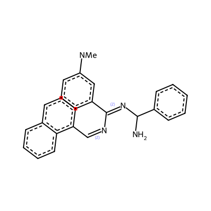 CNc1cccc(C(/N=C\c2cccc3ccccc23)=N/C(N)c2ccccc2)c1